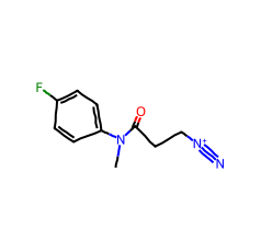 CN(C(=O)CC[N+]#N)c1ccc(F)cc1